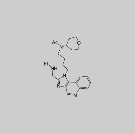 CCNCc1nc2cnc3ccccc3c2n1CCCCN(C(C)=O)C1CCOCC1